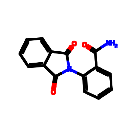 NC(=O)c1ccccc1N1C(=O)c2ccccc2C1=O